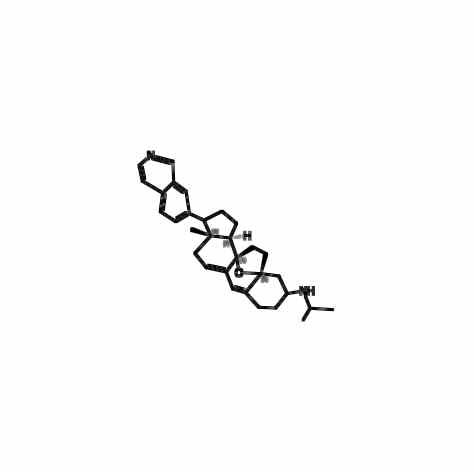 CC(C)NC1CCC2=CC3=CC[C@]4(C)C(c5ccc6ccncc6c5)CC[C@H]4[C@@]34CC[C@]2(C1)O4